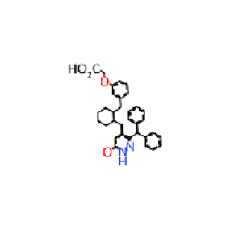 O=C(O)COc1cccc(CC2CCCCC2Cc2cc(=O)[nH]nc2C(c2ccccc2)c2ccccc2)c1